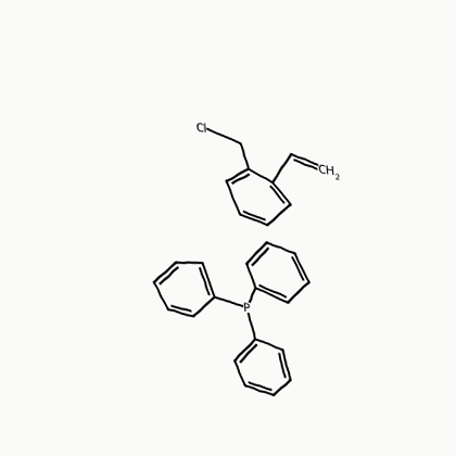 C=Cc1ccccc1CCl.c1ccc(P(c2ccccc2)c2ccccc2)cc1